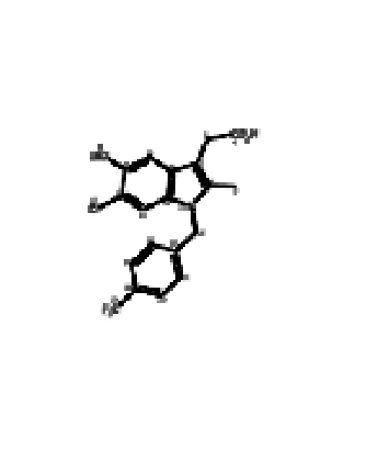 Cc1c(CC(=O)O)c2cc(O)c(Cl)cc2n1Cc1ccc(C(F)(F)F)cc1